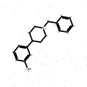 Oc1cccc(C2CCN(Cc3ccccc3)CC2)c1